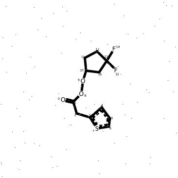 O=C(Cc1cccs1)OOC1CCC(F)(F)C1